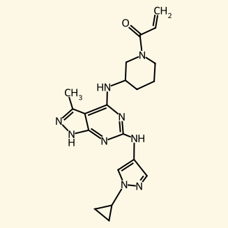 C=CC(=O)N1CCCC(Nc2nc(Nc3cnn(C4CC4)c3)nc3[nH]nc(C)c23)C1